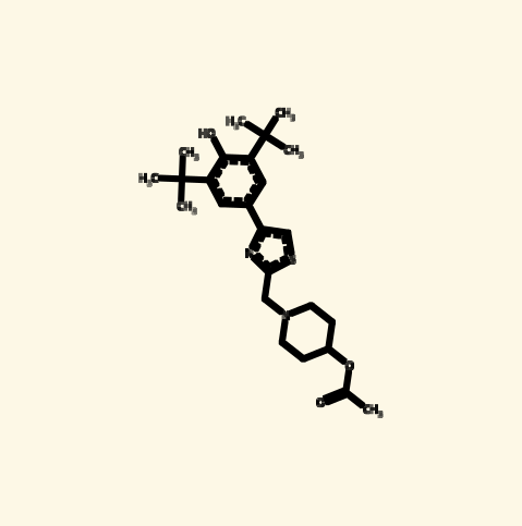 CC(=O)OC1CCN(Cc2nc(-c3cc(C(C)(C)C)c(O)c(C(C)(C)C)c3)cs2)CC1